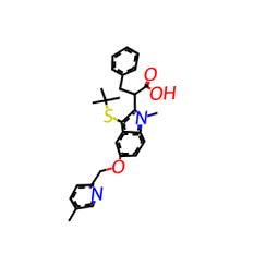 Cc1ccc(COc2ccc3c(c2)c(SC(C)(C)C)c(C(Cc2ccccc2)C(=O)O)n3C)nc1